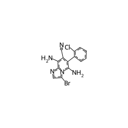 N#Cc1c(-c2ccccc2Cl)c(N)n2c(Br)cnc2c1N